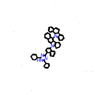 C1=CCC(C2=NC(c3ccc(-n4c5c(c6c(N7c8ccccc8C8C=Cc9ccccc9C87)c7ccccc7cc64)C=CCC5)c4ccccc34)=NC(C3C=CCCC3)N2)C=C1